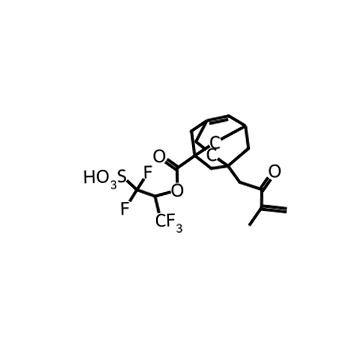 C=C(C)C(=O)CC12CCC3=CC(C1)CC(C(=O)OC(C(F)(F)F)C(F)(F)S(=O)(=O)O)(C3)C2